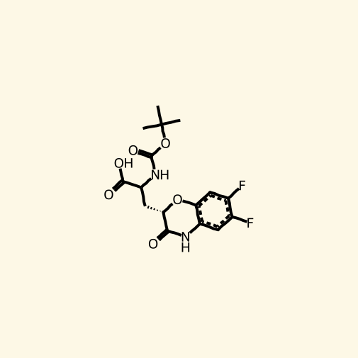 CC(C)(C)OC(=O)NC(C[C@@H]1Oc2cc(F)c(F)cc2NC1=O)C(=O)O